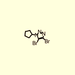 Brc1nnn(C2CCCC2)c1Br